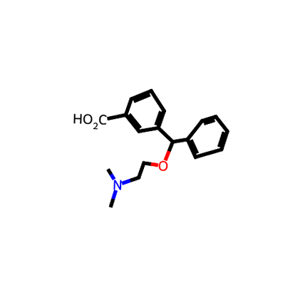 CN(C)CCOC(c1ccccc1)c1cccc(C(=O)O)c1